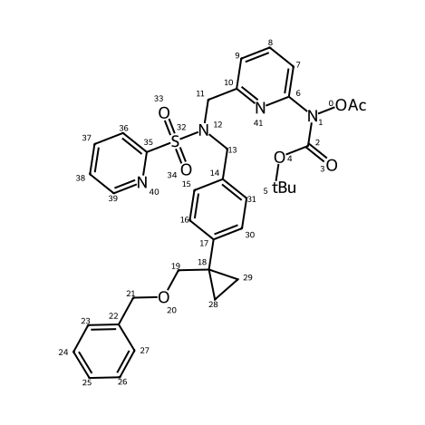 CC(=O)ON(C(=O)OC(C)(C)C)c1cccc(CN(Cc2ccc(C3(COCc4ccccc4)CC3)cc2)S(=O)(=O)c2ccccn2)n1